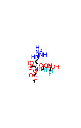 CCOC(=O)CON[C@@H](CCCNC(=N)N)C(=O)O.O=C(O)C(F)(F)F.O=C(O)C(F)(F)F